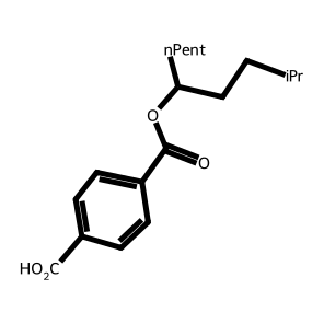 CCCCCC(CCC(C)C)OC(=O)c1ccc(C(=O)O)cc1